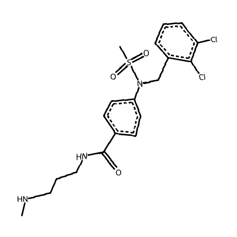 CNCCCNC(=O)c1ccc(N(Cc2cccc(Cl)c2Cl)S(C)(=O)=O)cc1